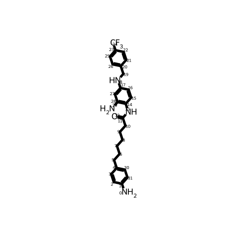 Nc1ccc(CCCCCCC(=O)Nc2ccc(NCc3ccc(C(F)(F)F)cc3)cc2N)cc1